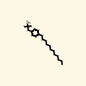 CCCCCCCCCCCCc1ccc([CH]C(C)(C)O)cc1